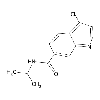 CC(C)NC(=O)c1ccc2c(Cl)ccnc2c1